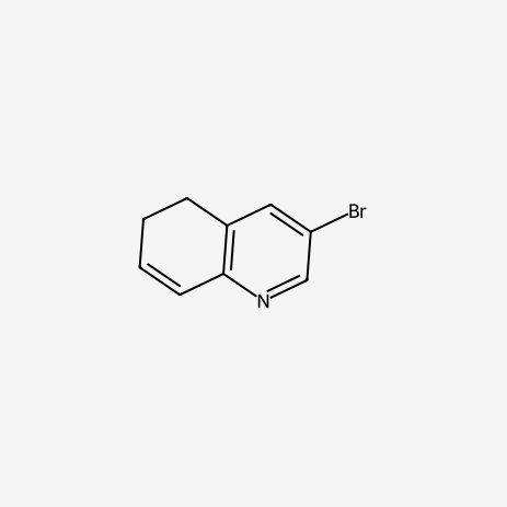 Brc1cnc2c(c1)CCC=C2